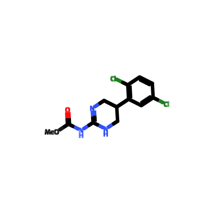 COC(=O)NC1=NCC(c2cc(Cl)ccc2Cl)CN1